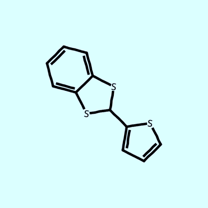 c1csc(C2Sc3ccccc3S2)c1